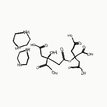 C1CNCCN1.C1CNCCN1.O=C(O)CC(O)(CC(=O)OC(CC(=O)O)(CC(=O)O)C(=O)O)C(=O)O